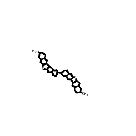 Cc1ccc2cc3c(cc2c1)sc1cc2ccc(-c4ccc5cc6sc7cc8cc(C)ccc8cc7c6cc5c4)cc2cc13